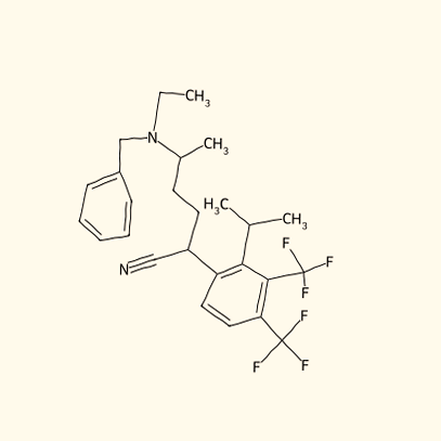 CCN(Cc1ccccc1)C(C)CCC(C#N)c1ccc(C(F)(F)F)c(C(F)(F)F)c1C(C)C